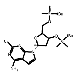 CC(C)(C)[Si](C)(C)OCC1O[C@@H](n2ccc3c(N)nc(Cl)nc32)CC1O[Si](C)(C)C(C)(C)C